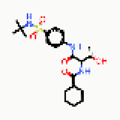 C[C@@H](O)C(NC(=O)C1CCCCC1)C(=O)Nc1ccc(S(=O)(=O)NC(C)(C)C)cc1